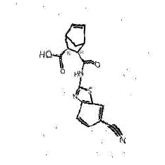 N#Cc1ccc2nc(NC(=O)[C@@H]3C4C=CC(C4)[C@@H]3C(=O)O)sc2c1